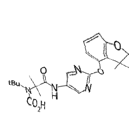 CC1(C)COc2cccc(Oc3ncc(NC(=O)C(C)(C)N(C(=O)O)C(C)(C)C)cn3)c21